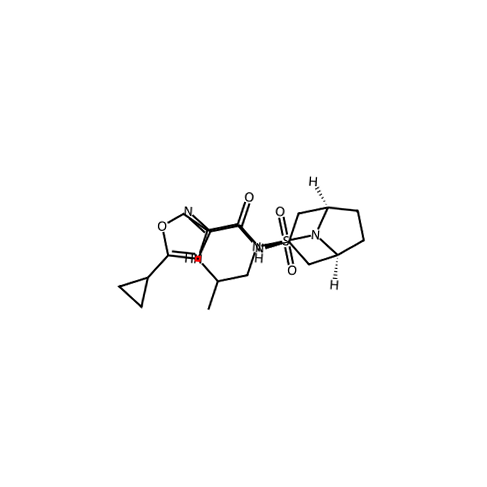 CC1CN(S(=O)(=O)N2[C@@H]3CC[C@H]2C[C@@H](NC(=O)c2cc(C4CC4)on2)C3)CC(C)N1